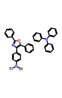 CCN(CC)c1ccc(-c2nc(-c3ccccc3)oc2-c2ccccc2)cc1.c1ccc(N(c2ccccc2)c2ccccc2)cc1